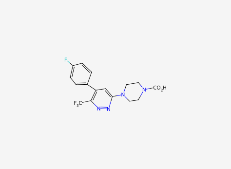 O=C(O)N1CCN(c2cc(-c3ccc(F)cc3)c(C(F)(F)F)nn2)CC1